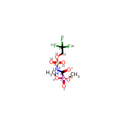 COP(=O)(OC)C(=O)NS(=O)(=O)OCC(F)(F)F